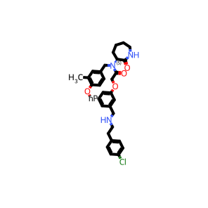 CCCOc1ccc(CN(C(=O)COc2cccc(CNCCc3ccc(Cl)cc3)c2)[C@H]2CCCCNC2=O)cc1C